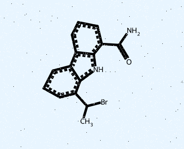 C[C](Br)c1cccc2c1[nH]c1c(C(N)=O)cccc12